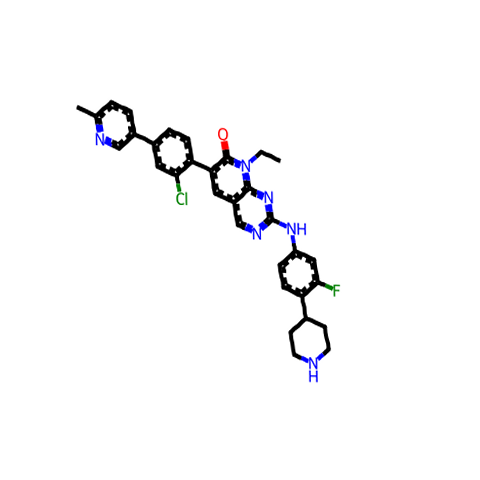 CCn1c(=O)c(-c2ccc(-c3ccc(C)nc3)cc2Cl)cc2cnc(Nc3ccc(C4CCNCC4)c(F)c3)nc21